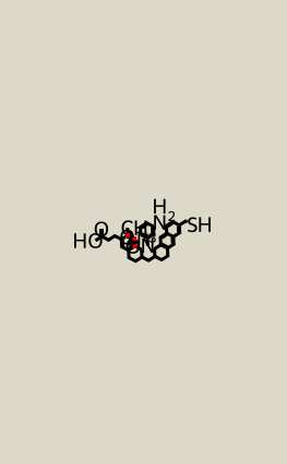 Cc1cc2c(cc1CCC(=O)O)CCC1CC3CCc4cc5cc(CS)ccc5cc4C3N(c3cc(N)ccc3[N+](=O)[O-])C21